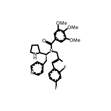 COc1cc(C(=O)N(CC(C)=Cc2ccc(F)cc2F)[C@@H](Cc2ccncc2)C2CCCN2)cc(OC)c1OC